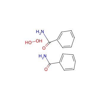 NC(=O)c1ccccc1.NC(=O)c1ccccc1.OO